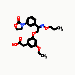 CCCO/N=C(\COc1cc(CC(=O)O)cc(OCC)c1)c1cccc(N2CCOC2=O)c1